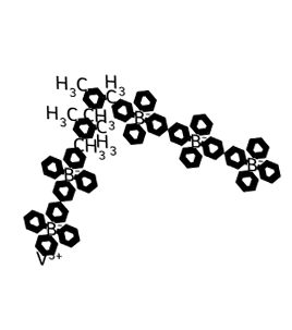 Cc1cc(C)cc(C)c1.Cc1cc(C)cc(C)c1.[V+5].c1ccc([B-](c2ccccc2)(c2ccccc2)c2ccccc2)cc1.c1ccc([B-](c2ccccc2)(c2ccccc2)c2ccccc2)cc1.c1ccc([B-](c2ccccc2)(c2ccccc2)c2ccccc2)cc1.c1ccc([B-](c2ccccc2)(c2ccccc2)c2ccccc2)cc1.c1ccc([B-](c2ccccc2)(c2ccccc2)c2ccccc2)cc1